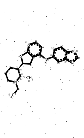 CCN1CCC[C@@H](C2Cc3c(Nc4ccc5scnc5c4)ccnc3S2)[C@@H]1C